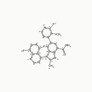 Cc1c(-c2cc(C(N)=O)c3nc(C)n(-c4ccnc5c(F)ccc(F)c45)c3c2)ccnc1F